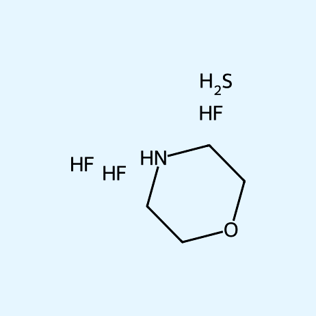 C1COCCN1.F.F.F.S